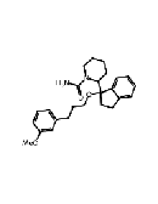 COc1cccc(CCCOC2(C3CCCCN3C(N)=O)CCc3ccccc32)c1